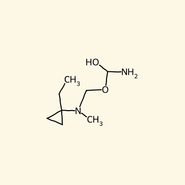 CCC1(N(C)COC(N)O)CC1